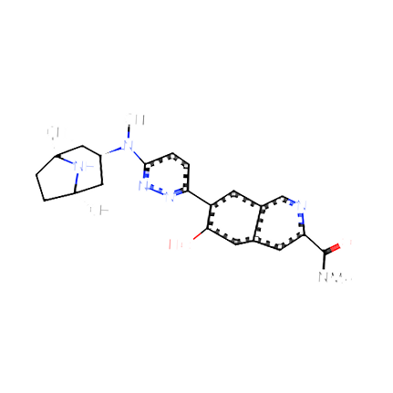 CNC(=O)c1cc2cc(O)c(-c3ccc(N(C)[C@@H]4C[C@]5(C)CC[C@](C)(C4)N5)nn3)cc2cn1